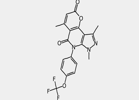 Cc1cc(=O)oc2c1c(=O)n(-c1ccc(OC(F)(F)F)cc1)c1c2c(C)nn1C